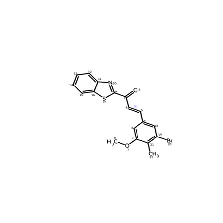 COc1cc(/C=C/C(=O)c2nc3ccccc3s2)cc(Br)c1C